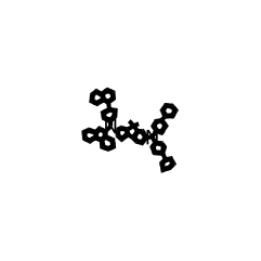 CC1(C)c2cc(N(c3ccc(-c4ccccc4)cc3)c3ccc(-c4ccccc4)cc3)ccc2-c2ccc(N(c3ccc(-c4cccc5ccccc45)cc3)c3cc4ccccc4c4ccccc34)cc21